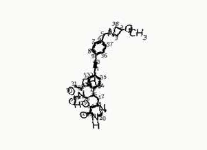 COC1CN(Cc2ccc(C#Cc3ccc(C(Cc4nc[nH]c(=O)c4O)CN4C(=O)OCC4C)cc3)cc2)C1